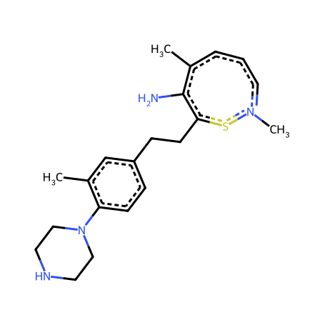 Cc1cc(CCc2sn(C)cccc(C)c2N)ccc1N1CCNCC1